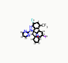 Fc1cc(C(F)(F)F)cc(C(Cc2ccccc2)(Nc2ncccn2)c2ccc(I)cn2)c1